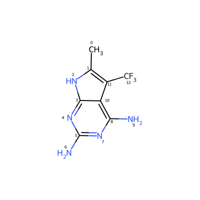 Cc1[nH]c2nc(N)nc(N)c2c1C(F)(F)F